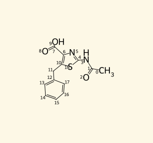 CC(=O)Nc1nc(C(=O)O)c(Cc2ccccc2)s1